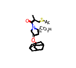 CC(=O)SCC(C)C(=O)N1C[C@@H](OC23CC4CC(CC(C4)C2)C3)C[C@H]1C(=O)O